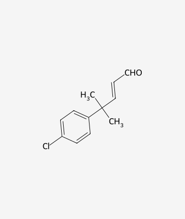 CC(C)(/C=C/C=O)c1ccc(Cl)cc1